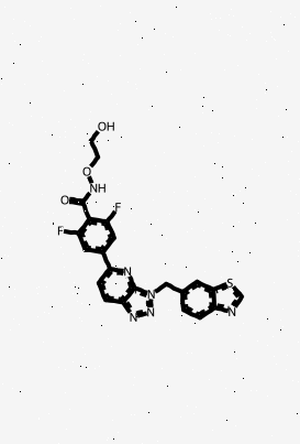 O=C(NOCCO)c1c(F)cc(-c2ccc3nnn(Cc4ccc5ncsc5c4)c3n2)cc1F